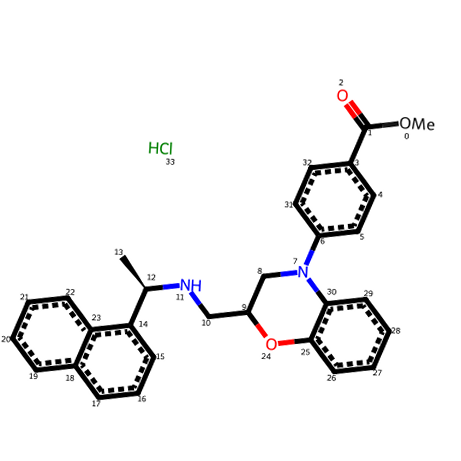 COC(=O)c1ccc(N2CC(CN[C@H](C)c3cccc4ccccc34)Oc3ccccc32)cc1.Cl